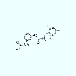 CCC(=O)Nc1cccc(OC(=O)N(C)Cc2c(C)cc(C)cc2C)c1